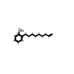 C=CCCCCCCCc1ccccc1CCCC